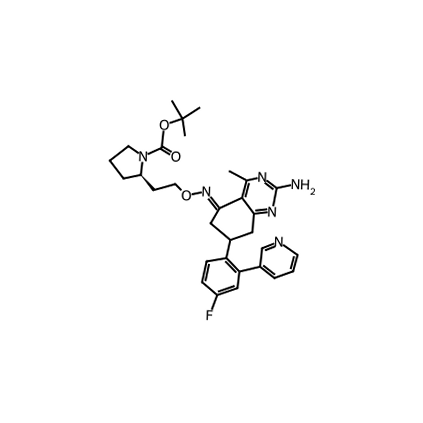 Cc1nc(N)nc2c1C(=NOCC[C@H]1CCCN1C(=O)OC(C)(C)C)CC(c1ccc(F)cc1-c1cccnc1)C2